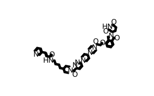 O=C(/C=C/c1cccnc1)NCCCCC1CCN(C(=O)c2ccc(N3CCC(N4CCN(C(=O)COc5cccc6c5CN(C5CCC(=O)NC5=O)C6=O)CC4)CC3)nn2)CC1